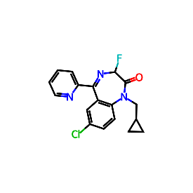 O=C1C(F)N=C(c2ccccn2)c2cc(Cl)ccc2N1CC1CC1